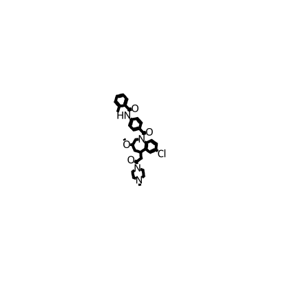 COC1CC(CC(=O)N2CCN(C)CC2)c2cc(Cl)ccc2N(C(=O)c2ccc(NC(=O)c3ccccc3C)cc2)C1